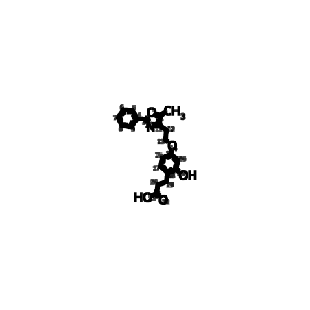 Cc1oc(-c2ccccc2)nc1CCOc1ccc(CCC(=O)O)c(O)c1